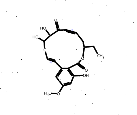 CCC1C/C=C\C(=O)C(O)C(O)C/C=C/c2cc(OC)cc(O)c2C(=O)O1